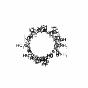 CCCC[C@H]1C(=O)N2C[C@H](O)C[C@@H]2C(=O)N[C@@H](CC(=O)O)C(=O)N[C@@H](C(C)C)C(=O)N(C)[C@@H](Cc2ccccc2)C(=O)N[C@@H](CC(=O)O)C(=O)N2C[C@H](O)C[C@H]2C(=O)N[C@@H](Cc2c[nH]c3ccccc23)C(=O)N[C@@H](Cc2ccc(O)cc2)C(=O)N[C@@H](CCC(N)=O)C(=O)N[C@H](C(=O)NCC(N)=O)CSCC(=O)N[C@@H](Cc2cc(F)c(F)c(F)c2)C(=O)N(C)[C@@H](Cc2ccccc2)C(=O)N1C